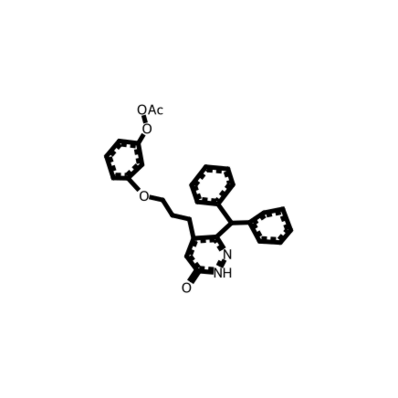 CC(=O)OOc1cccc(OCCCc2cc(=O)[nH]nc2C(c2ccccc2)c2ccccc2)c1